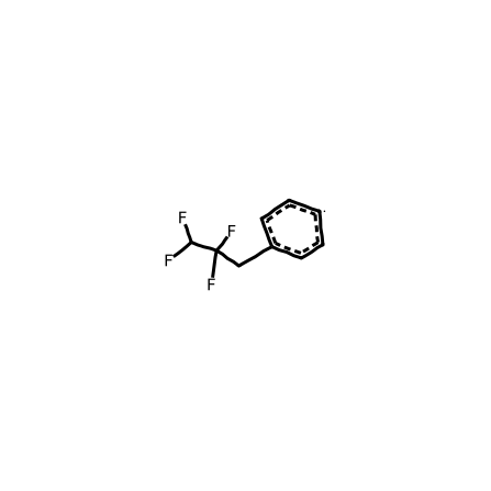 FC(F)C(F)(F)Cc1cc[c]cc1